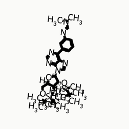 CN(C)C=Nc1cccc(-c2ncnc3c2ncn3[C@@H]2O[C@@H]3CO[Si](C(C)(C)C)(C(C)(C)C)O[C@H]3[C@H]2O[Si](C)(C)C(C)(C)C)c1